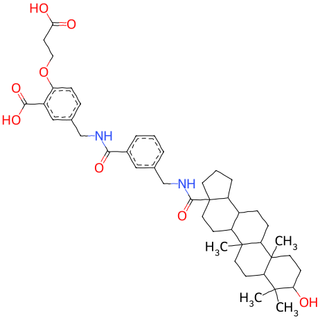 CC1(C)C(O)CCC2(C)C1CCC1(C)C3CCC4(C(=O)NCc5cccc(C(=O)NCc6ccc(OCCC(=O)O)c(C(=O)O)c6)c5)CCCC4C3CCC12